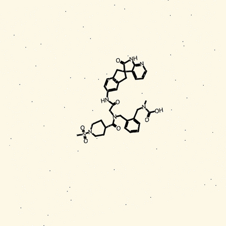 CN(Cc1ccccc1CN(CC(=O)Nc1ccc2c(c1)CC1(C2)C(=O)Nc2ncccc21)C(=O)C1CCN(S(C)(=O)=O)CC1)C(=O)O